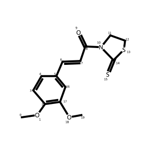 COc1ccc(C=CC(=O)N2CCSC2=S)cc1OC